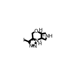 Ic1nnn2c1CO[C@@H]1CNC[C@H]12